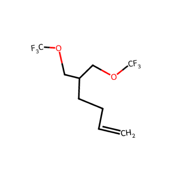 C=CCCC(COC(F)(F)F)COC(F)(F)F